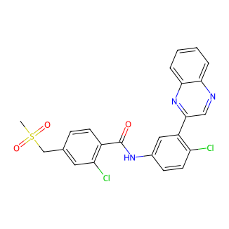 CS(=O)(=O)Cc1ccc(C(=O)Nc2ccc(Cl)c(-c3cnc4ccccc4n3)c2)c(Cl)c1